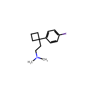 CN(C)CCC1(c2ccc(I)cc2)CCC1